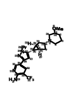 CO[C@H]1CCCN([C@@H]2C[C@@H]3[C@H](C2)[C@H]3c2cc(-c3cnc(N)c(C(F)(F)F)c3)nn2C(C)C)C1